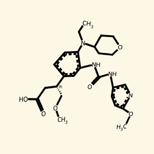 CCN(c1ccc([C@H](COC)CC(=O)O)cc1NC(=O)Nc1ccc(OC)nc1)C1CCOCC1